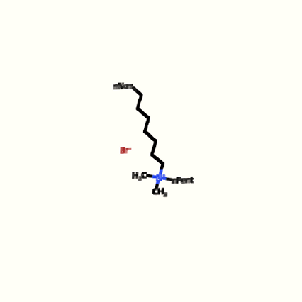 CCCCCCCCCCCCCCCC[N+](C)(C)CCCCC.[Br-]